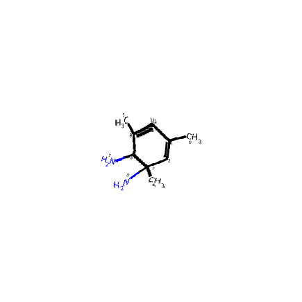 CC1=CC(C)(N)C(N)C(C)=C1